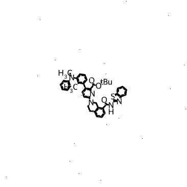 Cc1c(-c2ccc(N3CCc4cccc(C(=O)Nc5nc6ccccc6s5)c4C3)nc2C(=O)OC(C)(C)C)cccc1N(C)c1ccccc1